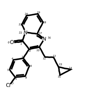 O=c1c(-c2ccc(Cl)cc2)c(CCC2CC2)nc2ccccn12